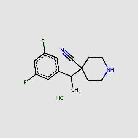 CC(c1cc(F)cc(F)c1)C1(C#N)CCNCC1.Cl